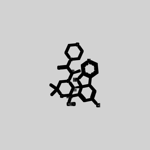 C[C@H](C(=O)N1CCOCC1)N1CC(C)(C)OC[C@H]1C12Nc3cnccc3C1C=C(Cl)C=C2NC=O